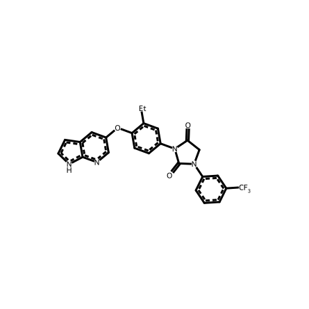 CCc1cc(N2C(=O)CN(c3cccc(C(F)(F)F)c3)C2=O)ccc1Oc1cnc2[nH]ccc2c1